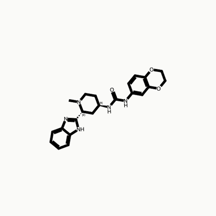 CN1CC[C@@H](NC(=O)Nc2ccc3c(c2)OCCO3)C[C@@H]1c1nc2ccccc2[nH]1